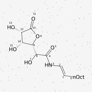 CCCCCCCCC=CNC(=O)C(O)[C@H]1OC(=O)[C@@H](O)[C@H]1O